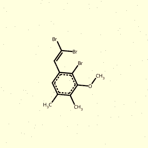 COc1c(C)c(C)cc(C=C(Br)Br)c1Br